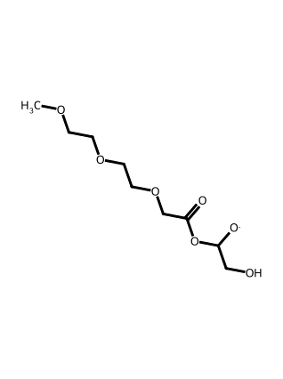 COCCOCCOCC(=O)OC([O])CO